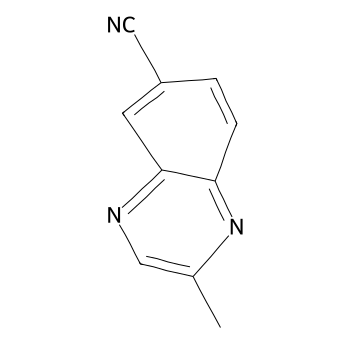 Cc1cnc2cc(C#N)ccc2n1